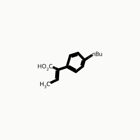 CC=C(C(=O)O)c1ccc(CCCC)cc1